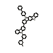 CC1C=CC=C(c2cccc(-n3c4ccccc4c4cc(-c5ccc6c(c5)c5cc7sc8ccccc8c7cc5n6-c5ccc(-c6ccccc6)cc5)ccc43)c2)C1